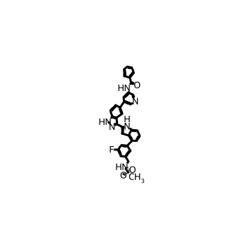 CS(=O)(=O)NCc1cc(F)cc(-c2cccc3[nH]c(-c4n[nH]c5ccc(-c6cncc(NC(=O)c7ccccc7)c6)cc45)cc23)c1